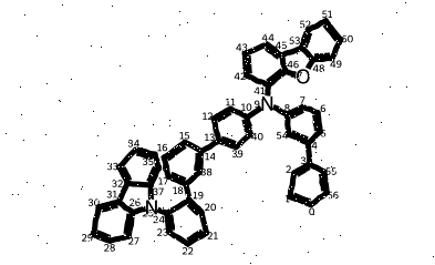 c1ccc(-c2cccc(N(c3ccc(-c4cccc(-c5ccccc5-n5c6ccccc6c6ccccc65)c4)cc3)c3cccc4c3oc3ccccc34)c2)cc1